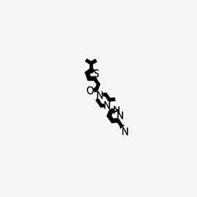 CC(C)c1ccc(CC(=O)N2CCN(c3ccc(C#N)nn3)C(C)C2)s1